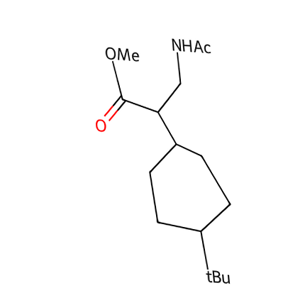 COC(=O)C(CNC(C)=O)C1CCC(C(C)(C)C)CC1